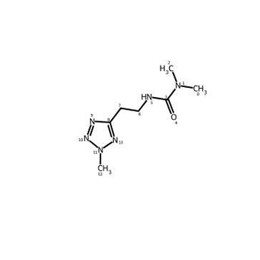 CN(C)C(=O)NCCc1nnn(C)n1